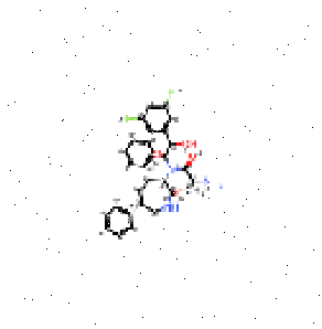 C[C@H](N)C(=O)N(C(=O)[C@H](O)c1cc(F)cc(F)c1)[C@@H]1C(=O)NC[C@H](c2ccccc2)C[C@@H]1c1ccccc1